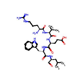 CC(C)C[C@@H]([C]=O)NC(=O)[C@H](Cc1c[nH]c2ccccc12)NC(=O)[C@H](CCC(=O)O)NC(=O)[C@@H](NC(=O)[C@@H](N)CCCNC(=N)N)C(C)C